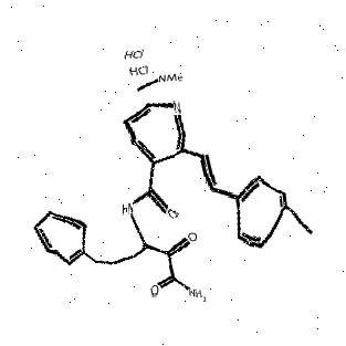 CNC.Cc1ccc(C=Cc2ncccc2C(=O)NC(Cc2ccccc2)C(=O)C(N)=O)cc1.Cl.Cl